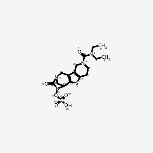 CCN(CC)C(=O)N1CCc2sc3c(c2C1)CN1CC3N(OS(=O)(=O)O)C1=O